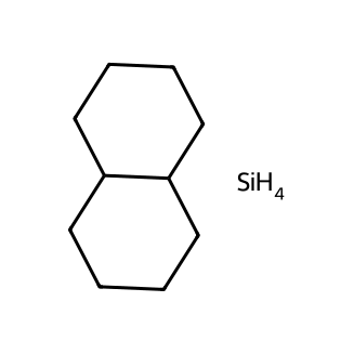 C1CCC2CCCCC2C1.[SiH4]